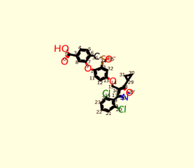 O=C(O)c1ccc2c(c1)Oc1ccc(OCc3c(-c4c(Cl)cccc4Cl)noc3C3CC3)cc1[S+]([O-])C2